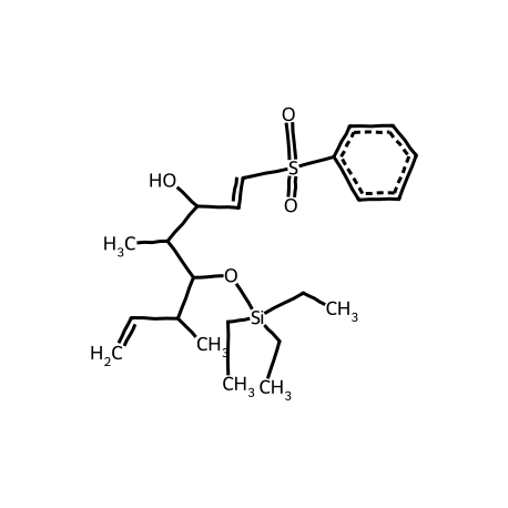 C=CC(C)C(O[Si](CC)(CC)CC)C(C)C(O)C=CS(=O)(=O)c1ccccc1